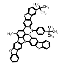 Cc1cc2c3c4c1c1cc5oc6ccccc6c5cc1n4-c1cc4sc5ccccc5c4cc1B3N(c1ccc(C(C)(C)C)cc1)c1cc3c(cc1-2)sc1ccc(C(C)(C)C)cc13